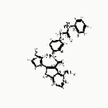 Nc1ncnc2sc(-c3ccsc3)c(C(=O)Nc3ccc(NC(=O)Nc4ccccc4)cc3)c12